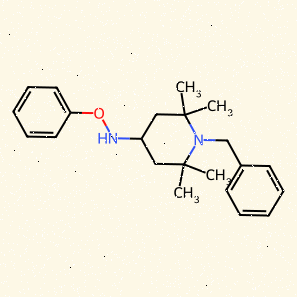 CC1(C)CC(NOc2ccccc2)CC(C)(C)N1Cc1ccccc1